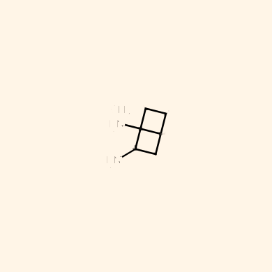 C.NC1CC2CCC12N